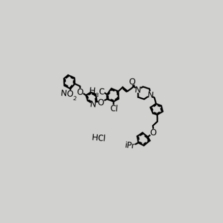 Cc1cc(C=CC(=O)N2CCN(Cc3ccc(CCOc4ccc(C(C)C)cc4)cc3)CC2)cc(Cl)c1Oc1ccc(OCc2ccccc2[N+](=O)[O-])cn1.Cl